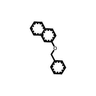 c1ccc(COc2ccc3ccccc3c2)cc1